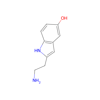 NCCc1cc2cc(O)ccc2[nH]1